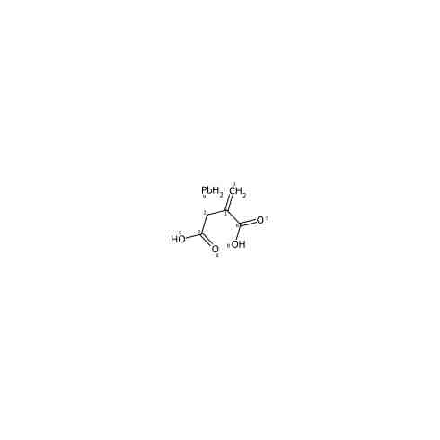 C=C(CC(=O)O)C(=O)O.[PbH2]